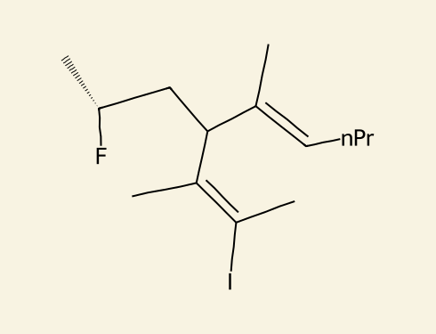 CCC/C=C(\C)C(C[C@@H](C)F)/C(C)=C(\C)I